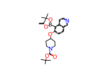 C=C1OB(c2c(OC3CCN(C(=O)OC(C)(C)C)CC3)ccc3cnccc23)OC1(C)C